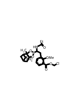 CCC(=O)NC(Cc1cccc(C(=O)OCCl)c1OC)B1OC2CC3CC(C3(C)C)C2(C)O1